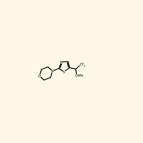 COC(c1cnc(N2CCOCC2)s1)C(F)(F)F